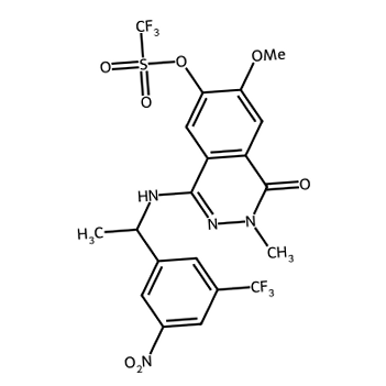 COc1cc2c(=O)n(C)nc(NC(C)c3cc([N+](=O)[O-])cc(C(F)(F)F)c3)c2cc1OS(=O)(=O)C(F)(F)F